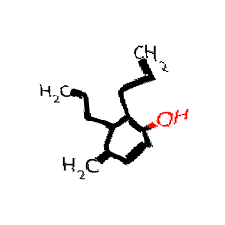 C=CCC1=C(O)C=CC(=C)C1CC=C